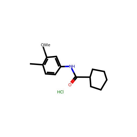 COc1cc(NC(=O)C2CCCCC2)ccc1C.Cl